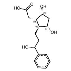 O=C(O)C[C@H]1[C@H](CCC(O)c2ccccc2)[C@@H](O)C[C@H]1O